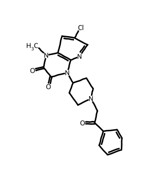 Cn1c(=O)c(=O)n(C2CCN(CC(=O)c3ccccc3)CC2)c2ncc(Cl)cc21